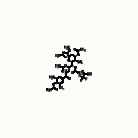 C=CC[C@]1(C(=O)OC)C[C@H](OC(C)=O)[C@@H](N)[C@H]([C@H](OC(C)=O)[C@@H](CNC(=O)c2cc(C)c(OC(C)=O)c(C)c2)OC(C)=O)O1.O=C(O)C(F)(F)F